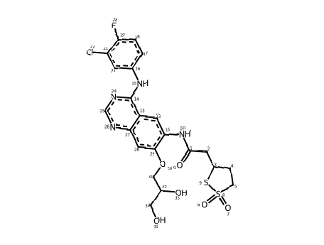 O=C(CC1CCS(=O)(=O)S1)Nc1cc2c(Nc3ccc(F)c(Cl)c3)ncnc2cc1OCC(O)CO